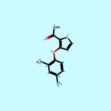 COC(=O)c1sccc1Oc1ccc(C(F)(F)F)cc1[N+](=O)[O-]